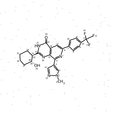 Cn1cc(-c2nc(-c3ccc(C(F)(F)F)cc3)cc3c(=O)[nH]c([C@@H]4CCCC[C@H]4O)nc23)cn1